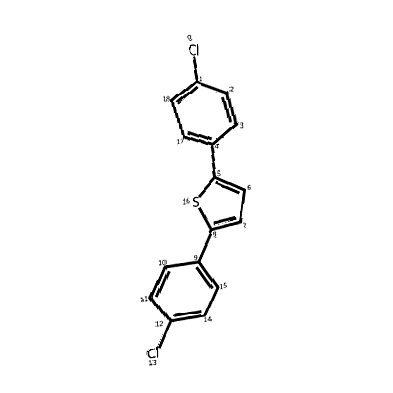 Clc1ccc(-c2ccc(-c3ccc(Cl)cc3)s2)cc1